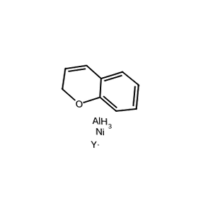 C1=Cc2ccccc2OC1.[AlH3].[Ni].[Y]